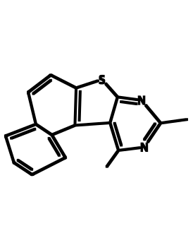 Cc1nc(C)c2c(n1)sc1ccc3ccccc3c12